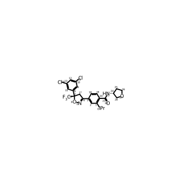 CC(C)c1cc(C2=NOC(c3cc(Cl)cc(Cl)c3)(C(F)(F)F)C2)ccc1C(=O)N[C@@H]1CCOC1